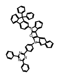 c1ccc(-c2nc(-c3ccccc3)nc(-c3ccc(-n4c5cc6ccccc6cc5c5c6c7ccccc7n(-c7ccc8c(c7)C(c7ccccc7)(c7ccccc7)c7ccccc7-8)c6oc54)cc3)n2)cc1